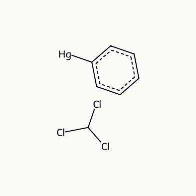 ClC(Cl)Cl.[Hg][c]1ccccc1